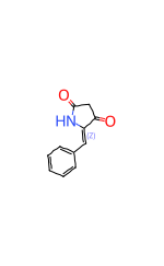 O=C1CC(=O)/C(=C/c2ccccc2)N1